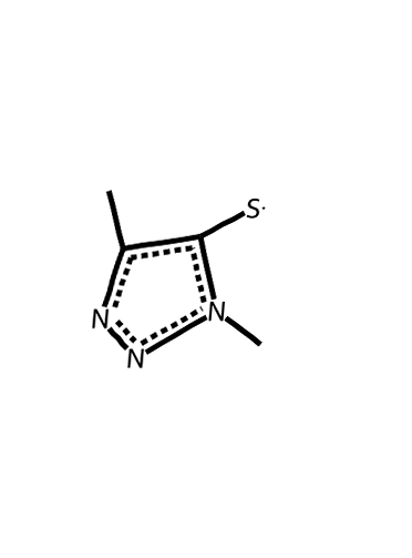 Cc1nnn(C)c1[S]